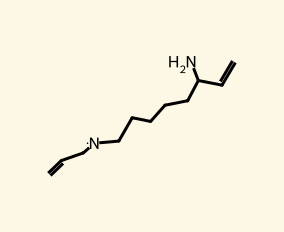 C=CC[N]CCCCCC(N)C=C